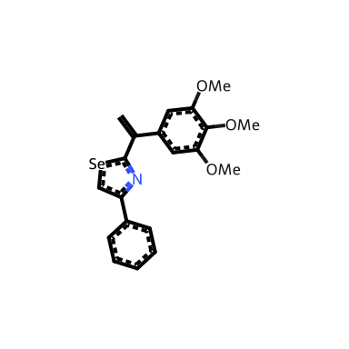 C=C(c1cc(OC)c(OC)c(OC)c1)c1nc(-c2ccccc2)c[se]1